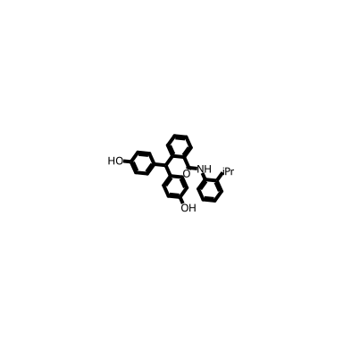 CC(C)c1ccccc1NC(=O)c1ccccc1C(c1ccc(O)cc1)c1ccc(O)cc1